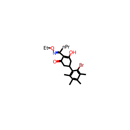 CCCC(=NOCC)C1=C(O)CC(c2c(C)c(C)c(C)c(C)c2Br)CC1=O